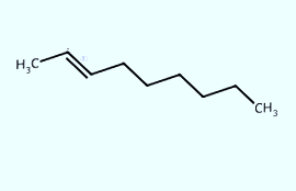 C/[C]=C/CCCCCC